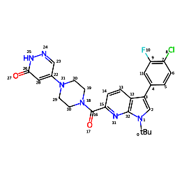 CC(C)(C)n1cc(-c2ccc(Cl)c(F)c2)c2ccc(C(=O)N3CCN(c4cn[nH]c(=O)c4)CC3)nc21